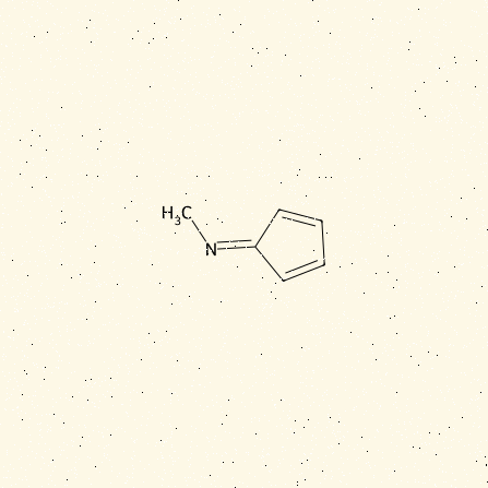 CN=C1C=CC=C1